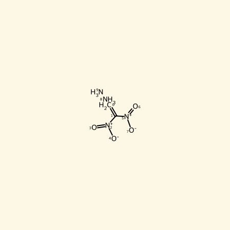 C=C([N+](=O)[O-])[N+](=O)[O-].N.N